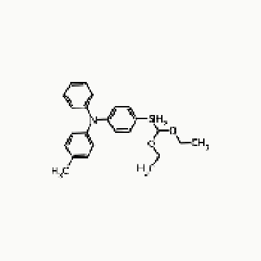 CCOC(OCC)[SiH2]c1ccc(N(c2ccccc2)c2ccc(C)cc2)cc1